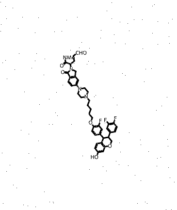 CNC(=O)C(CCC=O)N1Cc2cc(N3CCN(CCCCCOc4ccc(C5c6ccc(O)cc6OCC5c5ccc(F)c(F)c5)cc4F)CC3)ccc2C1=O